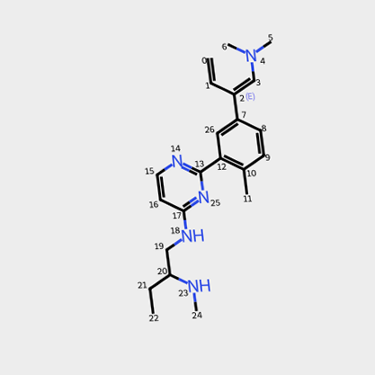 C=C/C(=C\N(C)C)c1ccc(C)c(-c2nccc(NCC(CC)NC)n2)c1